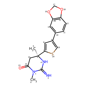 CN1C(=N)N[C@](C)(c2cc(-c3ccc4c(c3)OCO4)cs2)CC1=O